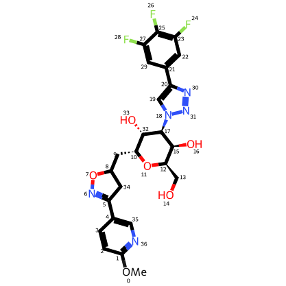 COc1ccc(C2=NOC(C[C@H]3O[C@H](CO)[C@H](O)[C@H](n4cc(-c5cc(F)c(F)c(F)c5)nn4)[C@H]3O)C2)cn1